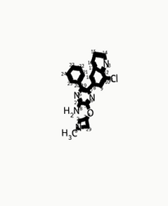 CN1CC(Oc2nc(-c3cc(Cl)c4ncccc4c3)c(-c3ccccc3)nc2N)C1